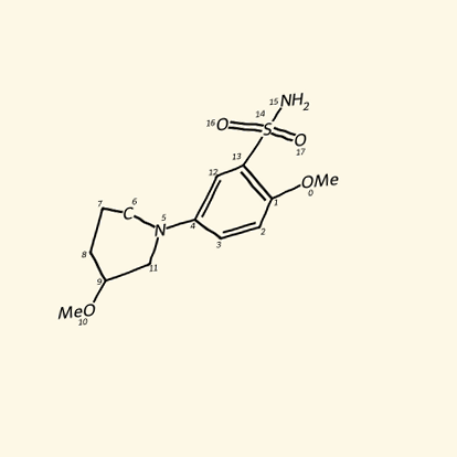 COc1ccc(N2CCCC(OC)C2)cc1S(N)(=O)=O